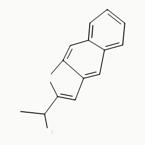 CC(O)c1cc2cc3ccccc3cc2s1